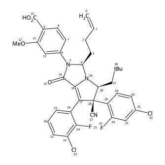 C=CCC[C@@H]1N(c2ccc(C(=O)O)c(OC)c2)C(=O)C2=C(c3cccc(Cl)c3F)[C@@](C#N)(c3ccc(Cl)cc3F)[C@H](CC(C)(C)C)N21